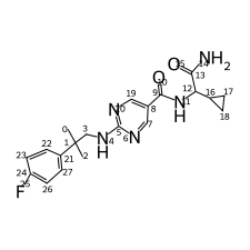 CC(C)(CNc1ncc(C(=O)NC(C(N)=O)C2CC2)cn1)c1ccc(F)cc1